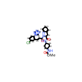 COC(=O)NC1CCC(NC(=O)C(Cc2ccccc2)NC(=O)C=Cc2cc(Cl)ccc2-n2cnnn2)CC1